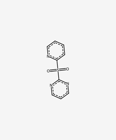 O=S(=O)(c1ccccn1)c1ncccn1